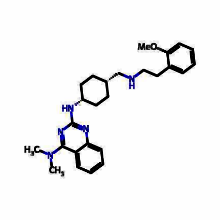 COc1ccccc1CCNC[C@H]1CC[C@@H](Nc2nc(N(C)C)c3ccccc3n2)CC1